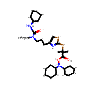 CCCCCCCN(CCCc1csc(SC(C)(C)C(=O)ON(C2CCCCC2)C2CCCCC2)n1)C(=O)NC1CCCCC1